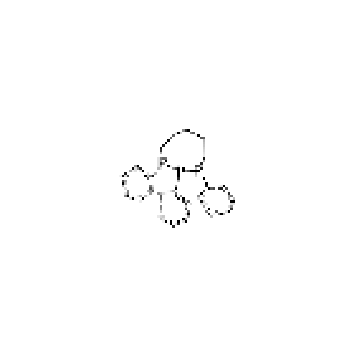 c1ccc(P2CCCCCP(c3ccccc3)P2c2ccccc2)cc1